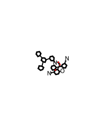 N#Cc1ccc2c(c1)C1(c3cc(C#N)ccc3O2)c2ccccc2N(c2cccc(-c3cc(-c4ccccc4)cc(-c4ccccc4)c3)c2)c2ccccc21